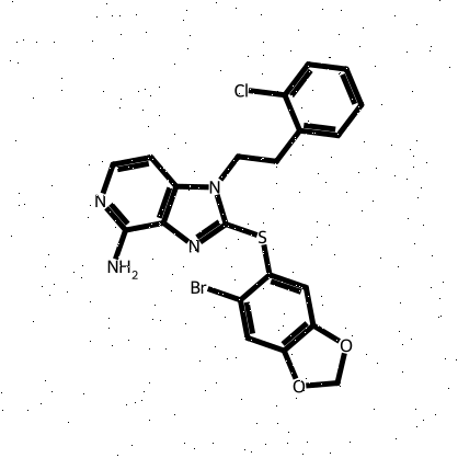 Nc1nccc2c1nc(Sc1cc3c(cc1Br)OCO3)n2CCc1ccccc1Cl